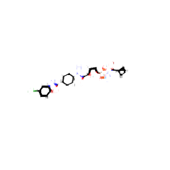 O=C(N[C@H]1CC[C@@H](c2nc3cc(Cl)ccc3o2)CC1)c1ccc(S(=O)(=O)NC(=O)C23CC(C2)C3)o1